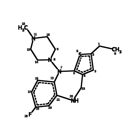 CCc1cc2c(s1)N(N1CCN(C)CC1)c1ccc(F)cc1NC2